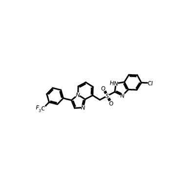 O=S(=O)(Cc1cccn2c(-c3cccc(C(F)(F)F)c3)cnc12)c1nc2cc(Cl)ccc2[nH]1